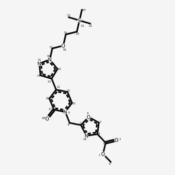 COC(=O)c1coc(Cn2ccc(-c3cnn(COCC[Si](C)(C)C)c3)cc2=O)n1